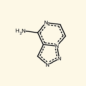 Nc1nccn2nncc12